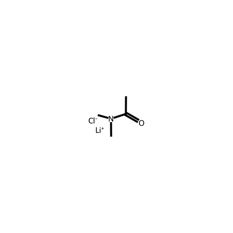 CC(=O)N(C)C.[Cl-].[Li+]